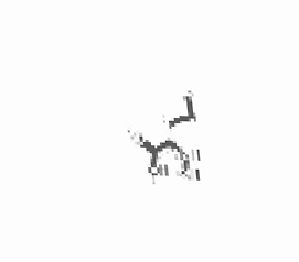 CCC[C@H](NS)C(=O)O